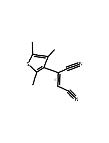 Cc1sc(C)c(/C(C#N)=C/C#N)c1C